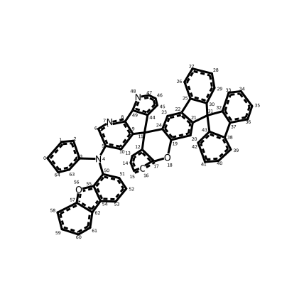 c1ccc(N(c2cnc3c(c2)C2(c4ccccc4Oc4cc5c(cc42)-c2ccccc2C52c4ccccc4-c4ccccc42)c2cccnc2-3)c2cccc3c2oc2ccccc23)cc1